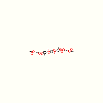 C=CC(=O)OCCCCOCOc1ccc(C(=O)O[C@H]2CC[C@H](OC(=O)c3ccc(OC(=O)OCCCCOC(=O)C=C)c(C)c3)CC2)cc1C